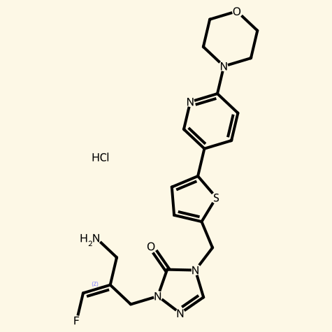 Cl.NC/C(=C/F)Cn1ncn(Cc2ccc(-c3ccc(N4CCOCC4)nc3)s2)c1=O